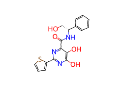 O=C(N[C@H](CO)c1ccccc1)c1nc(-c2cccs2)nc(O)c1O